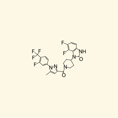 Cc1cc(C(=O)N2CCC(n3c(=O)[nH]c4ccc(F)c(F)c43)CC2)nn1-c1ccc(C(F)(F)F)c(F)c1